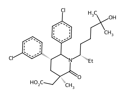 CC[C@@H](CCCC(C)(C)O)N1C(=O)[C@@](C)(CC(=O)O)C[C@H](c2cccc(Cl)c2)C1c1ccc(Cl)cc1